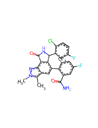 Cc1c2cc(-c3c(C(N)=O)cc(F)cc3C(F)(F)F)c3c(c2nn1C)C(=O)NC3c1cc(F)ccc1Cl